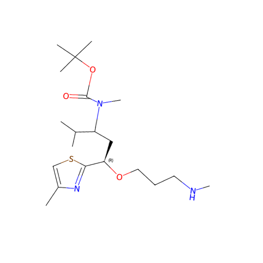 CNCCCO[C@H](CC(C(C)C)N(C)C(=O)OC(C)(C)C)c1nc(C)cs1